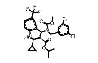 COC(=O)N(Cc1cc(Cl)cc(Cl)c1)C1c2cc(C(F)(F)F)ccc2N[C@H](C2CC2)[C@@H]1C(=O)OC(C)C